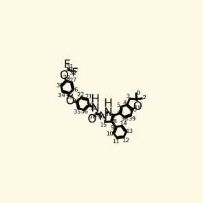 CC1(C)Cc2cc(C3=C(c4ccccc4)CN(C(=O)Nc4ccc(Oc5ccc(OC(F)F)cc5)cc4)N3)ccc2O1